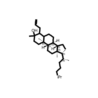 C=CCC1C2CC[C@H]3[C@@H]4CC[C@H]([C@H](C)CCCC(C)C)[C@@]4(C)CC[C@@H]3[C@@]2(C)CCC1(C)O